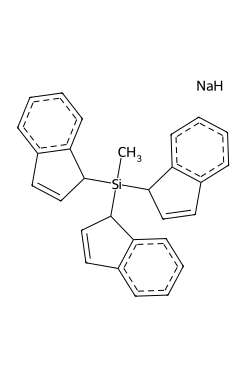 C[Si](C1C=Cc2ccccc21)(C1C=Cc2ccccc21)C1C=Cc2ccccc21.[NaH]